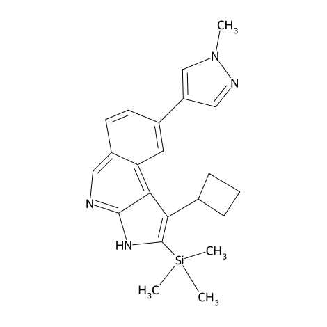 Cn1cc(-c2ccc3cnc4[nH]c([Si](C)(C)C)c(C5CCC5)c4c3c2)cn1